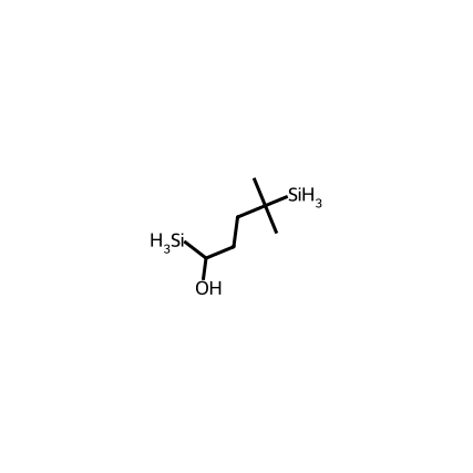 CC(C)([SiH3])CCC(O)[SiH3]